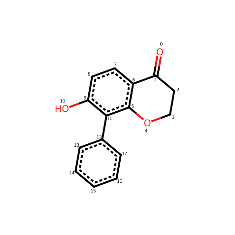 O=C1CCOc2c1ccc(O)c2-c1ccccc1